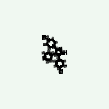 CCN1CCN(c2n[nH]c(-c3ccc(Cl)cc3)c2-c2ccncc2)CC1